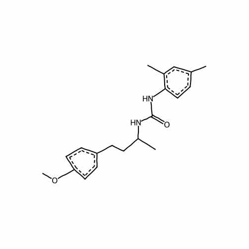 COc1ccc(CCC(C)NC(=O)Nc2ccc(C)cc2C)cc1